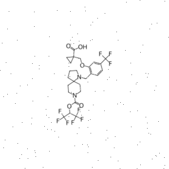 O=C(OC(C(F)(F)F)C(F)(F)F)N1CCC2(CCCN2Cc2ccc(C(F)(F)F)cc2OCC2(C(=O)O)CC2)CC1